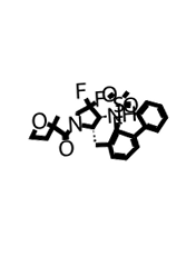 CC1(C(=O)N2CC(F)(F)[C@H](NS(C)(=O)=O)[C@@H]2Cc2cccc(-c3ccccc3)c2F)CCO1